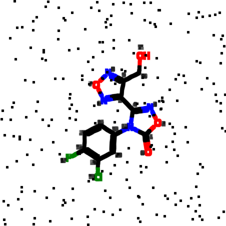 O=c1onc(-c2nonc2CO)n1-c1ccc(F)c(Cl)c1